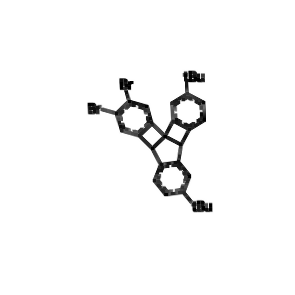 CC(C)(C)c1ccc2c(c1)C1c3ccc(C(C)(C)C)cc3C13c1cc(Br)c(Br)cc1C23